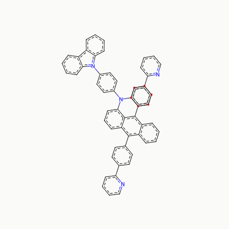 c1ccc(N(c2ccc(-n3c4ccccc4c4ccccc43)cc2)c2cccc3c(-c4ccc(-c5ccccn5)cc4)c4ccccc4c(-c4ccc(-c5ccccn5)cc4)c23)cc1